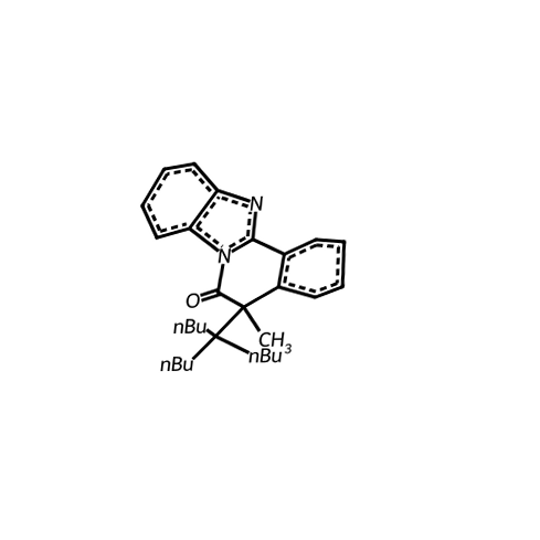 CCCCC(CCCC)(CCCC)C1(C)C(=O)n2c(nc3ccccc32)-c2ccccc21